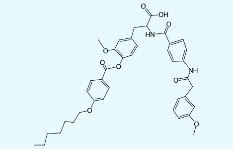 CCCCCCCOc1ccc(C(=O)Oc2ccc(CC(NC(=O)c3ccc(NC(=O)Cc4cccc(OC)c4)cc3)C(=O)O)cc2OC)cc1